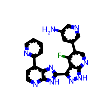 Nc1cncc(-c2cnc3[nH]nc(-c4nc5c(-c6ccccn6)ccnc5[nH]4)c3c2F)c1